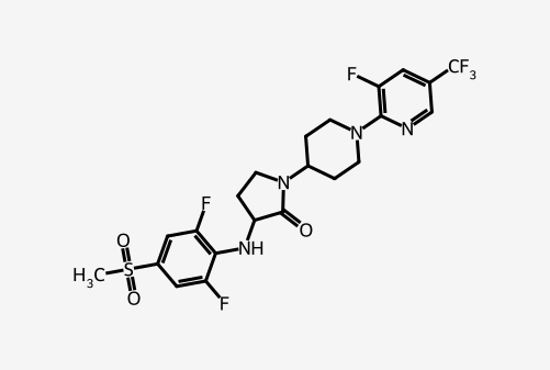 CS(=O)(=O)c1cc(F)c(NC2CCN(C3CCN(c4ncc(C(F)(F)F)cc4F)CC3)C2=O)c(F)c1